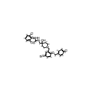 O=C(NCC1(O)CCN(Cc2cc(Br)ccc2OCc2ccc(Cl)cc2)CC1)Nc1c(Cl)cccc1Cl